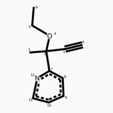 C#CC(C)(OCC)c1ccccn1